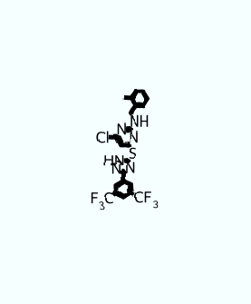 Cc1ccccc1CNc1nc(Cl)cc(Sc2nc(-c3cc(C(F)(F)F)cc(C(F)(F)F)c3)n[nH]2)n1